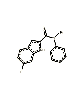 CC(C)N(C(=O)c1cc2ccc(F)cc2[nH]1)c1ccccc1